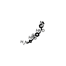 NCC1=CC(CNS(=O)(=O)c2ccc(CNC(=O)c3ccc4nccn4c3)cc2)C1